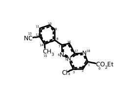 CCOC(=O)c1cc(Cl)n2nc(-c3cccc(C#N)c3C)cc2n1